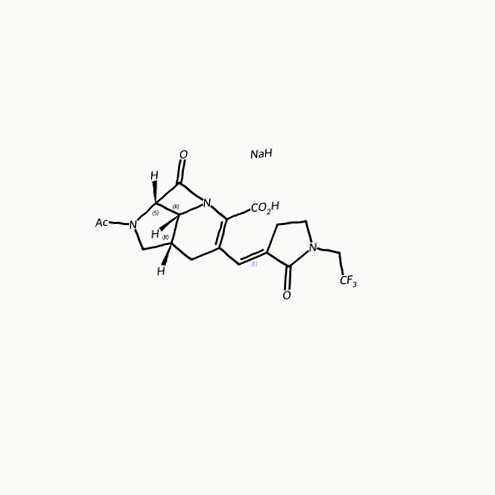 CC(=O)N1C[C@H]2CC(/C=C3\CCN(CC(F)(F)F)C3=O)=C(C(=O)O)N3C(=O)[C@@H]1[C@@H]23.[NaH]